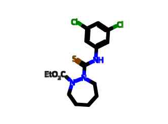 CCOC(=O)N1CCCCCN1C(=S)Nc1cc(Cl)cc(Cl)c1